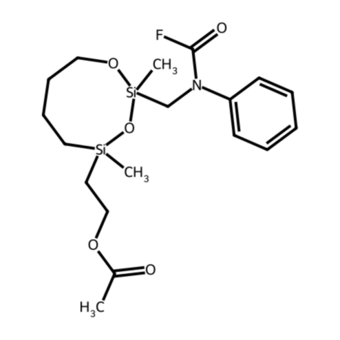 CC(=O)OCC[Si]1(C)CCCCO[Si](C)(CN(C(=O)F)c2ccccc2)O1